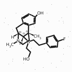 CN1CC[C@@]2(C)c3cc(O)ccc3C[C@@H]1[C@H]2N(CCO)CCc1ccc(F)cc1